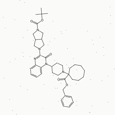 CC(C)(C)OC(=O)N1CC2CN(c3nc4ccccc4n(C4CCN(C5(C(=O)OCc6ccccc6)CCCCCCC5)CC4)c3=O)CC2C1